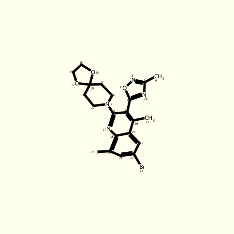 Cc1noc(-c2c(N3CCC4(CC3)OCCO4)nc3c(I)cc(Br)cc3c2C)n1